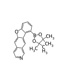 CC1(C)OB(c2cccc3oc4cc5ccncc5cc4c23)OC1(C)C